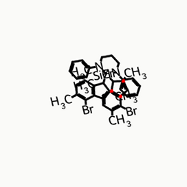 CC1=Cc2c(ccc(C)c2Br)[CH]1[Zr]1([CH]2C(C)=Cc3c2ccc(C)c3Br)([SiH](C)C)[N](c2ccccc2)CCC[N]1c1ccccc1